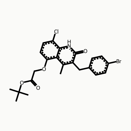 Cc1c(Cc2ccc(Br)cc2)c(=O)[nH]c2c(Cl)ccc(OCC(=O)OC(C)(C)C)c12